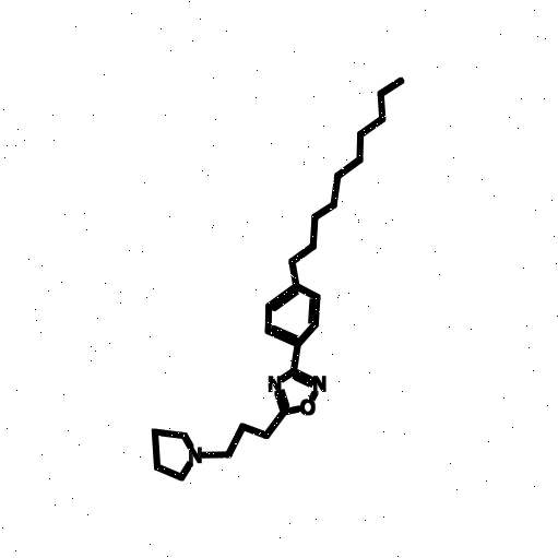 CCCCCCCCCCc1ccc(-c2noc(CCCN3CCCC3)n2)cc1